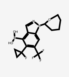 OB(O)c1c(C2(F)CC2)c(C(F)(F)F)cc2c1cnn2C1CCCCO1